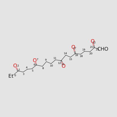 CCC(=O)CCCC(=O)CCCCC(=O)CCC(=O)CCCC(=O)C=O